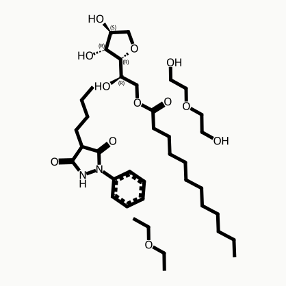 CCCCC1C(=O)NN(c2ccccc2)C1=O.CCCCCCCCCCCC(=O)OC[C@@H](O)[C@H]1OC[C@H](O)[C@H]1O.CCOCC.OCCOCCO